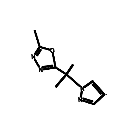 Cc1nnc(C(C)(C)n2c[c]cn2)o1